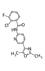 Cc1nc(-c2ccc(NC(=O)c3cccc(F)c3Cl)nc2)c(C)o1